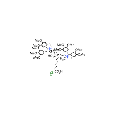 COc1cc2c(cc1OC)[C@H](c1cc(OC)c(OC)c(OC)c1)[N@@+](C)(CCCC(CCCCCCC(=O)O)(CCC[N@@+]1(C)CCc3cc(OC)c(OC)cc3[C@H]1Cc1cc(OC)c(OC)c(OC)c1)C(=O)O)CC2.[Cl-].[Cl-]